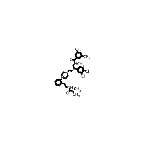 CN(C)C(=O)NCCc1ccccc1N1CCN(CC[C@H](CN(C)C(=O)c2cc(C(F)(F)F)cc(C(F)(F)F)c2)c2ccc(Cl)c(Cl)c2)CC1